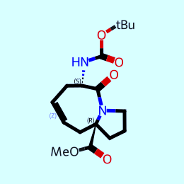 COC(=O)[C@@]12C/C=C\C[C@H](NC(=O)OC(C)(C)C)C(=O)N1CCC2